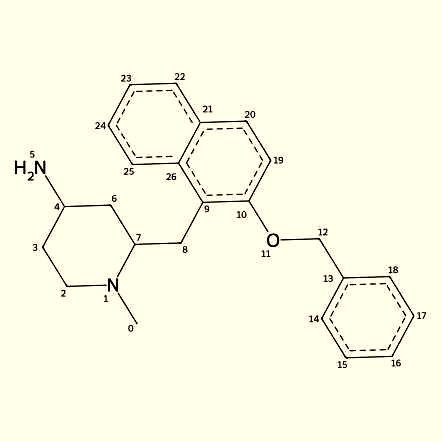 CN1CCC(N)CC1Cc1c(OCc2ccccc2)ccc2ccccc12